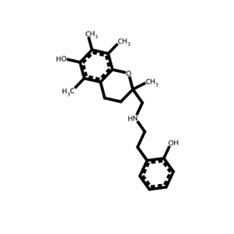 Cc1c(C)c2c(c(C)c1O)CCC(C)(CNCCc1ccccc1O)O2